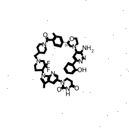 Cc1cc([C@H]2CN(c3cc(-c4ccccc4O)nnc3N)CCO2)ccc1C(=O)N1CCC(CN2CCC(n3cc(C)c4cc(N5CCC(=O)NC5=O)cnc43)C(F)(F)C2)CC1